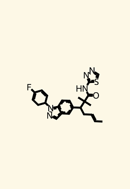 C/C=C/CC(c1ccc2c(cnn2C2C=CC(F)=CC2)c1)C(C)(C)C(=O)Nc1nncs1